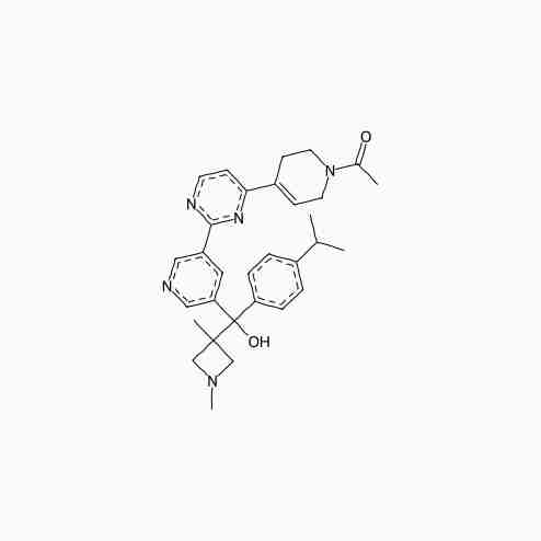 CC(=O)N1CC=C(c2ccnc(-c3cncc(C(O)(c4ccc(C(C)C)cc4)C4(C)CN(C)C4)c3)n2)CC1